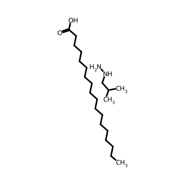 CC(C)CNN.CCCCCCCCCCCCCCCCCC(=O)O